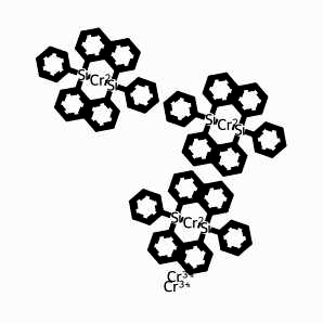 [Cr+3].[Cr+3].c1ccc([Si]([Cr-2][Si](c2ccccc2)(c2ccccc2)c2ccccc2)(c2ccccc2)c2ccccc2)cc1.c1ccc([Si]([Cr-2][Si](c2ccccc2)(c2ccccc2)c2ccccc2)(c2ccccc2)c2ccccc2)cc1.c1ccc([Si]([Cr-2][Si](c2ccccc2)(c2ccccc2)c2ccccc2)(c2ccccc2)c2ccccc2)cc1